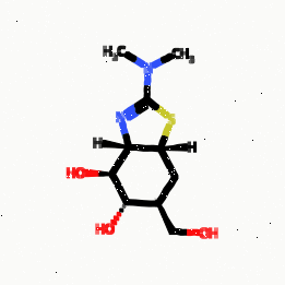 CN(C)C1=N[C@H]2[C@H](O)[C@@H](O)[C@H](CO)C[C@H]2S1